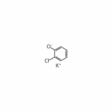 [K+].[O-]c1ccccc1Cl